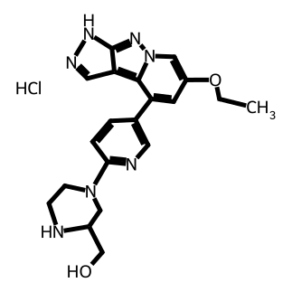 CCOc1cc(-c2ccc(N3CCNC(CO)C3)nc2)c2c3cn[nH]c3nn2c1.Cl